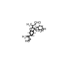 CC(CC=O)C(=O)C(OC1CCNCC1)(C(=O)O)c1ccc(C(N)=NO)cc1